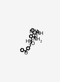 NC(=O)c1c(CNC(=O)[CH]Cc2ccc(C(=O)c3ccccc3)cc2)cccc1C(CC1=NCCN1)c1ccccn1